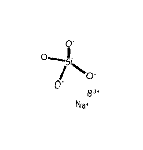 [B+3].[Na+].[O-][Si]([O-])([O-])[O-]